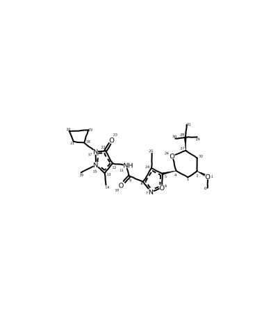 CO[C@H]1C[C@@H](c2onc(C(=O)Nc3c(C)n(C)n(C4CCC4)c3=O)c2C)O[C@@H](C(C)(C)C)C1